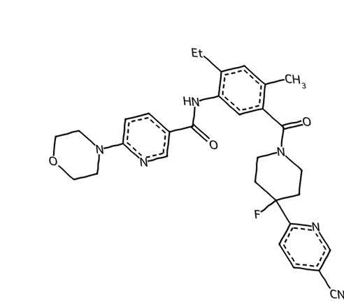 CCc1cc(C)c(C(=O)N2CCC(F)(c3ccc(C#N)cn3)CC2)cc1NC(=O)c1ccc(N2CCOCC2)nc1